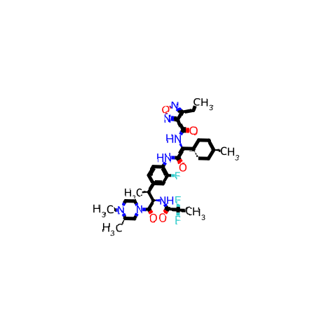 CCc1nonc1C(=O)N[C@H](C(=O)Nc1ccc([C@H](C)[C@@H](NC(=O)C(C)(F)F)C(=O)N2CCN(C)[C@@H](C)C2)cc1F)[C@H]1CC[C@H](C)CC1